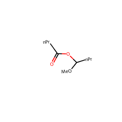 CCCC(=O)OC(CCC)OC